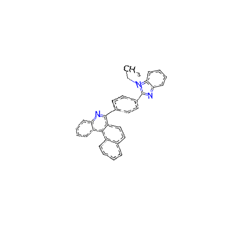 CCn1c(-c2ccc(-c3nc4ccccc4c4c3ccc3ccccc34)cc2)nc2ccccc21